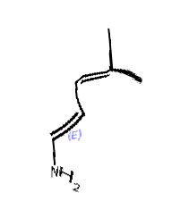 CC(C)=C/C=C/N